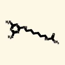 CC(=O)NCCCCCCNc1nc(N)nc(N)n1